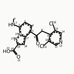 CNc1ccc(C(=O)Cc2c(Cl)cncc2Cl)c2cc(C(=O)O)nn12